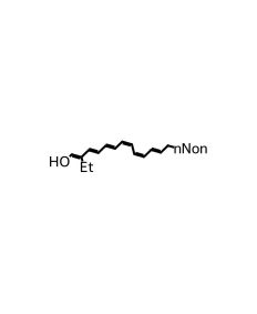 CCCCCCCCCC/C=C/C=C\C=C/C=C/C=C/C(=C/O)CC